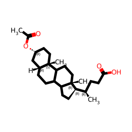 CC(=O)O[C@@H]1CC[C@]2(C)C3CC[C@@]4(C)C(CC[C@@H]4[C@H](C)CCC(=O)O)C3CC[C@@H]2C1